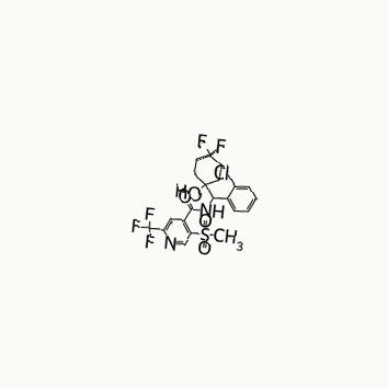 CS(=O)(=O)c1cnc(C(F)(F)F)cc1C(=O)NC(c1ccccc1Cl)C1(O)CCC(F)(F)CC1